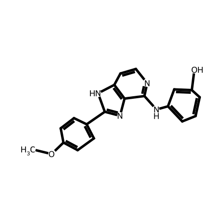 COc1ccc(-c2nc3c(Nc4cccc(O)c4)nccc3[nH]2)cc1